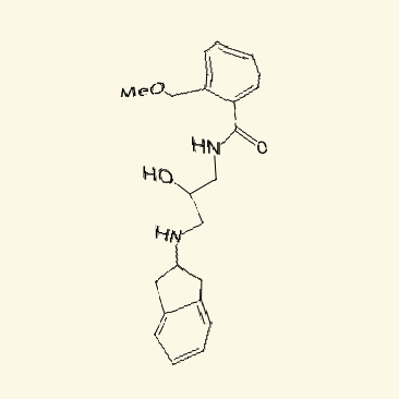 COCc1ccccc1C(=O)NCC(O)CNC1Cc2ccccc2C1